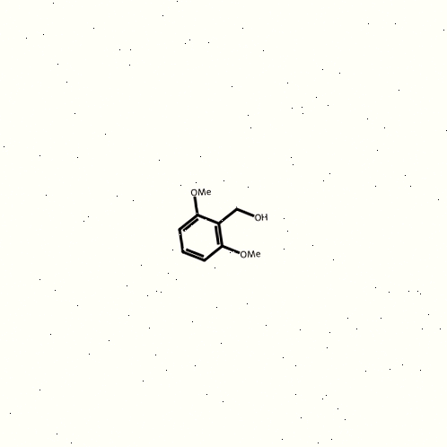 COc1cccc(OC)c1[CH]O